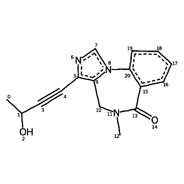 CC(O)C#Cc1ncn2c1CN(C)C(=O)c1ccccc1-2